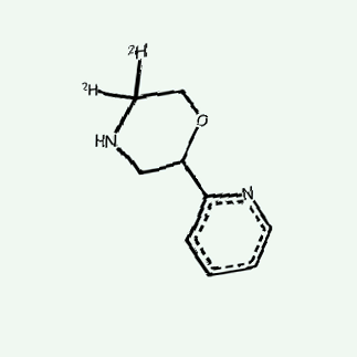 [2H]C1([2H])COC(c2ccccn2)CN1